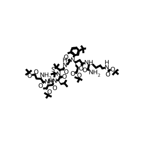 Cc1ccc(C(C)(C)C)cc1N(C(=O)CNC(=O)C1N(C(=O)[C@@H](CC(C)C)NC(=O)[C@@H](NC(=O)[C@@H](N)CC(=O)OC(C)(C)C)C(C)OC(C)(C)C)C(C)(C)SC1(C)C)[C@@H](CCC(=O)OC(C)(C)C)CC(=O)N[C@H](CCCCNC(=O)OC(C)(C)C)C(N)=O